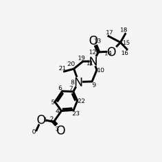 COC(=O)c1ccc(N2CCN(C(=O)OC(C)(C)C)CC2C)cc1